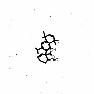 CC(C)c1cc2c(cc1C1(C(=O)O)C=CCCC1=C=O)C(C)(C)C=CC2(C)C